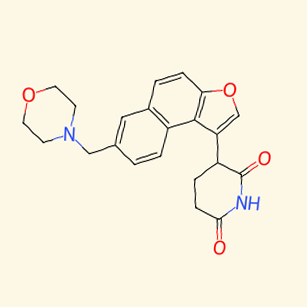 O=C1CCC(c2coc3ccc4cc(CN5CCOCC5)ccc4c23)C(=O)N1